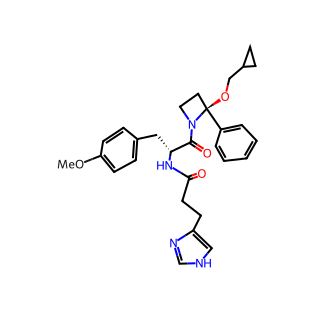 COc1ccc(C[C@@H](NC(=O)CCc2c[nH]cn2)C(=O)N2CC[C@]2(OCC2CC2)c2ccccc2)cc1